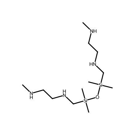 CNCCNC[Si](C)(C)O[Si](C)(C)CNCCNC